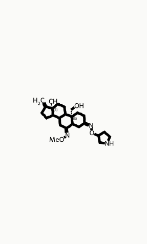 C=C1CCC2C3CC(=NOC)C4CC(=NOC5CCNC5)CC[C@]4(CO)C3CC[C@]12C